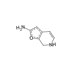 Nc1cc2c(o1)CNC=C2